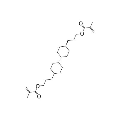 C=C(C)C(=O)OCCCC1CCC([C@H]2CC[C@H](CCCOC(=O)C(=C)C)CC2)CC1